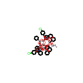 [SiH3]O[Si]1(c2ccccc2)O[Si](/C=C/c2ccc(Cl)cc2)(c2ccccc2)O[Si]2(c3ccccc3)O[Si]3(c4ccccc4)O[SiH](c4ccccc4)O[Si]4(c5ccccc5)O[Si](/C=C/c5ccc(Cl)cc5)(c5ccccc5)O[Si](c5ccccc5)(O3)O[Si@](c3ccccc3)(O2)O[Si@](c2ccccc2)(O1)O4